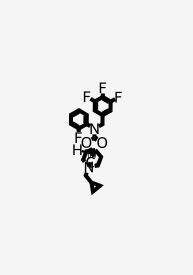 O=C(O[C@H]1C[N+]2(CC3CC3)CCC1CC2)N(Cc1cc(F)c(F)c(F)c1)c1ccccc1F